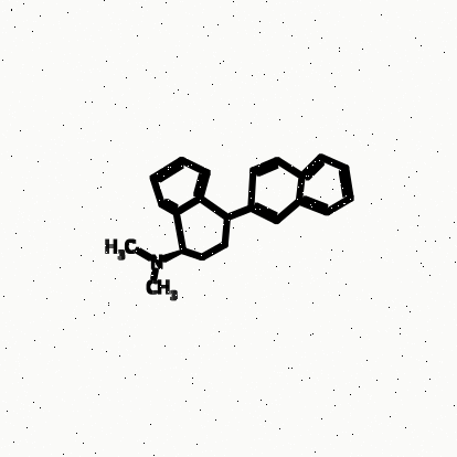 CN(C)[C@@H]1CCC(c2ccc3ccccc3c2)c2ccccc21